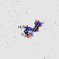 C=CCn1c(=O)c2cnc(NC3CCN(C(=O)c4cc(Cn5c(=O)[nH]c(=O)c6c(F)cccc65)ccc4F)CC3)nc2n1-c1cccc(C(C)(C)O)n1